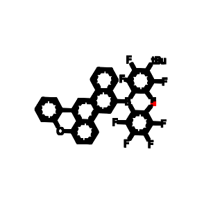 CC(C)(C)c1c(F)c(F)c(B(c2c(F)c(F)c(F)c(F)c2F)c2cc3c4cccc5c4c(cc3c3ccccc23)-c2ccccc2O5)c(F)c1F